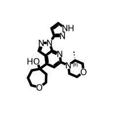 C[C@@H]1COCCN1c1cc(C2(O)CCCOCC2)c2cnn(-c3cc[nH]n3)c2n1